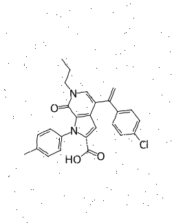 C=C(c1ccc(Cl)cc1)c1cn(CCC)c(=O)c2c1cc(C(=O)O)n2-c1ccc(C)cc1